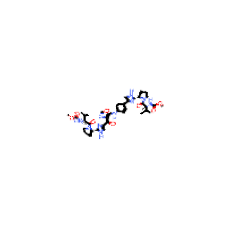 COC(=O)N[C@H](C(=O)N1CCC[C@H]1c1nc(C(=O)c2ncoc2Nc2ccc(-c3c[nH]c([C@@H]4CCCN4C(=O)[C@@H](NC(=O)OC)C(C)C)n3)cc2)c[nH]1)C(C)C